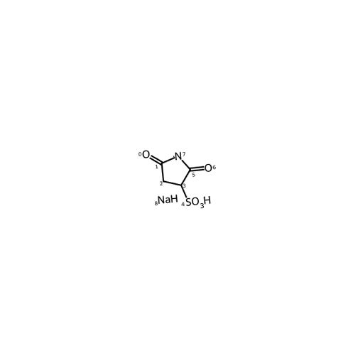 O=C1CC(S(=O)(=O)O)C(=O)[N]1.[NaH]